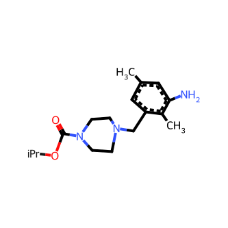 Cc1cc(N)c(C)c(CN2CCN(C(=O)OC(C)C)CC2)c1